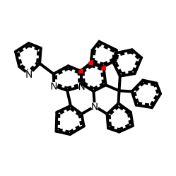 c1ccc(-c2cc(-c3ccccn3)nc(-c3ccccc3N3c4ccccc4C(c4ccccc4)(c4ccccc4)c4ccccc43)n2)cc1